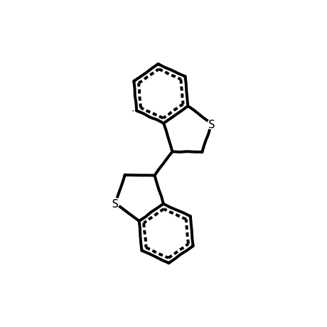 [c]1cccc2c1C(C1CSc3ccccc31)CS2